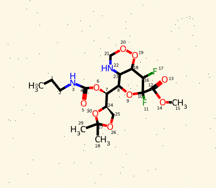 CCCNC(=O)O[C@@H](C1OC(F)(C(=O)OC)C(F)C2OOCNC21)[C@H]1COC(C)(C)O1